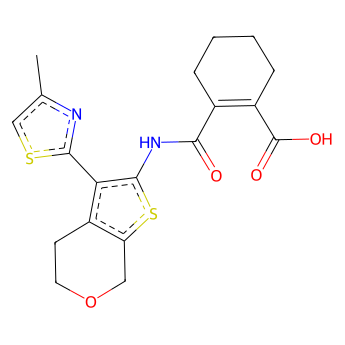 Cc1csc(-c2c(NC(=O)C3=C(C(=O)O)CCCC3)sc3c2CCOC3)n1